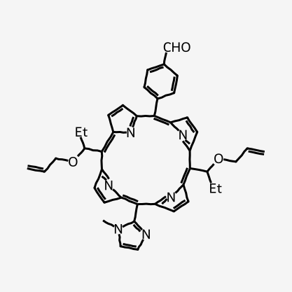 C=CCOC(CC)C1=C2C=CC(=N2)C(c2ccc(C=O)cc2)=C2C=CC(=N2)C(C(CC)OCC=C)=C2C=CC(=N2)C(c2nccn2C)=C2C=CC1=N2